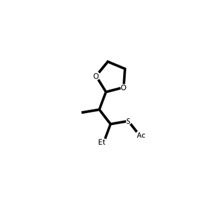 CCC(SC(C)=O)C(C)C1OCCO1